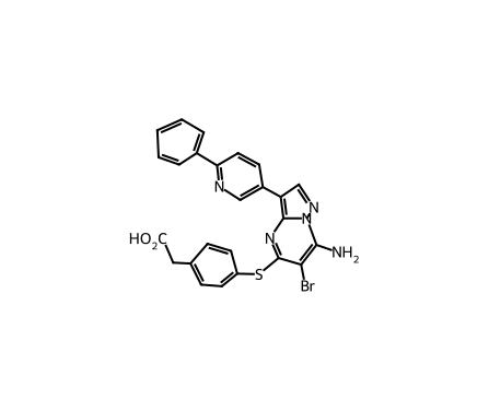 Nc1c(Br)c(Sc2ccc(CC(=O)O)cc2)nc2c(-c3ccc(-c4ccccc4)nc3)cnn12